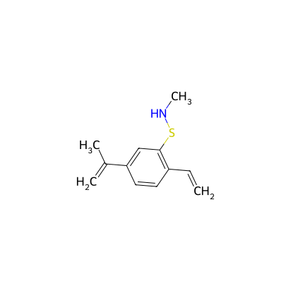 C=Cc1ccc(C(=C)C)cc1SNC